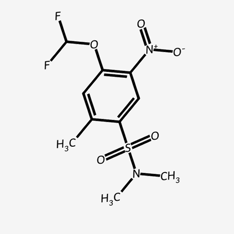 Cc1cc(OC(F)F)c([N+](=O)[O-])cc1S(=O)(=O)N(C)C